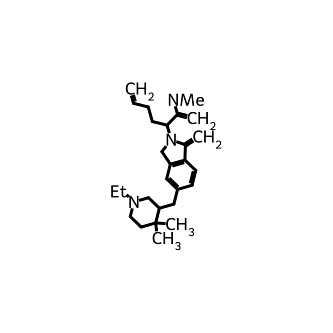 C=CCCC(C(=C)NC)N1Cc2cc(CC3CN(CC)CCC3(C)C)ccc2C1=C